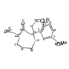 CCOC(=O)CC1(c2cccc(OC)c2)CCCCC(C=O)C1=O